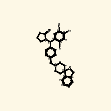 O=C1CCCN1C(c1ccc(CN2CCC3(CC2)OCc2ccncc23)cc1)c1cc(F)c(F)cc1F